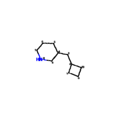 C1CC(CC2CCCNC2)C1